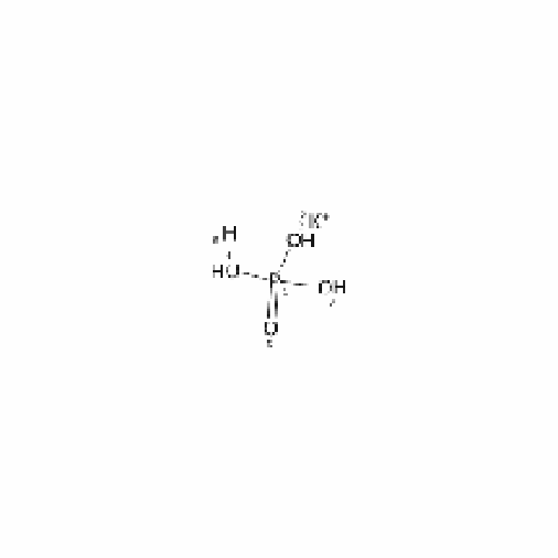 O=P(O)(O)O.[H-].[K+]